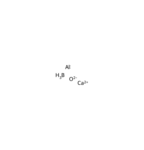 B.[Al].[Ca+2].[O-2]